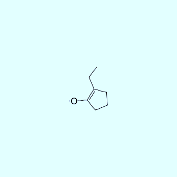 CCC1=C([O])CCC1